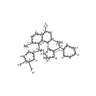 N#Cc1cnc2c(Cl)cc(N[C@@H](c3cccnc3)c3c[nH]nn3)cc2c1Nc1cnc(F)c(F)c1